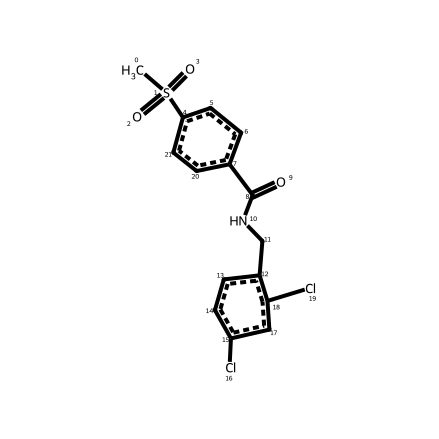 CS(=O)(=O)c1ccc(C(=O)NCc2ccc(Cl)cc2Cl)cc1